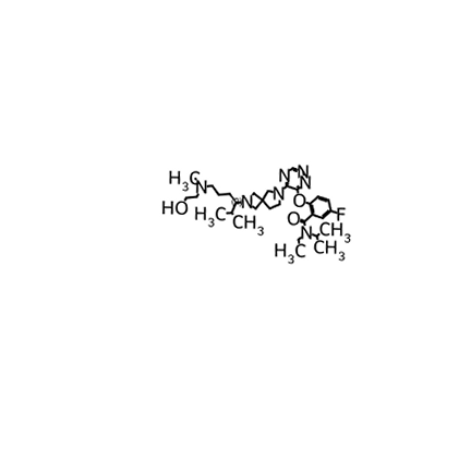 CCN(C(=O)c1cc(F)ccc1Oc1nncnc1N1CCC2(C1)CN([C@H](CCCN(C)CCO)C(C)C)C2)C(C)C